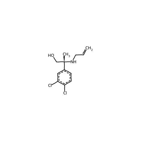 C=CCN[C@@](C)(CO)c1ccc(Cl)c(Cl)c1